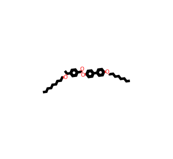 CCCCCCCCCOC(C)c1ccc(C(=O)Oc2ccc(-c3ccc(OCCCCCCCC)cc3)cc2)cc1